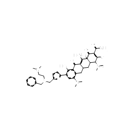 CN(C)CCN(Cc1ccccc1)Cc1ccc(-c2cc(N(C)C)c3c(c2O)C(=O)C2=C(O)C4(O)C(=O)C(C(N)=O)=C(O)C(N(C)C)C4CC2C3)s1